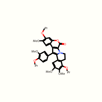 COc1cc(-c2c3n(c4c(=O)oc5cc(OC(C)C)c(OC)cc5c24)CCc2c-3cc(OC)c(OC)c2OC(C)C)ccc1OC(C)C